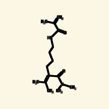 C=C(C)C(=O)NCCCCC(C(=O)N(C)C)=C(C)C